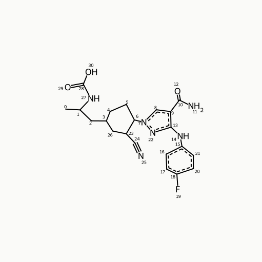 CC(CC1CCC(n2cc(C(N)=O)c(Nc3ccc(F)cc3)n2)C(C#N)C1)NC(=O)O